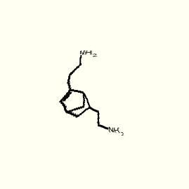 NCCC1=CC2CC(CCN)C1C2